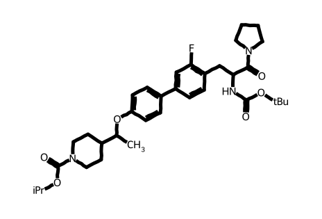 CC(C)OC(=O)N1CCC(C(C)Oc2ccc(-c3ccc(CC(NC(=O)OC(C)(C)C)C(=O)N4CCCC4)c(F)c3)cc2)CC1